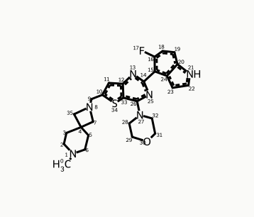 CN1CCC2(CC1)CN(Cc1cc3nc(-c4c(F)ccc5[nH]ccc45)nc(N4CCOCC4)c3s1)C2